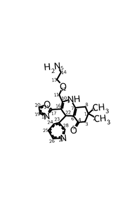 CC1(C)CC(=O)C2=C(C1)NC(COCCN)=C(c1ncco1)C2c1cccnc1